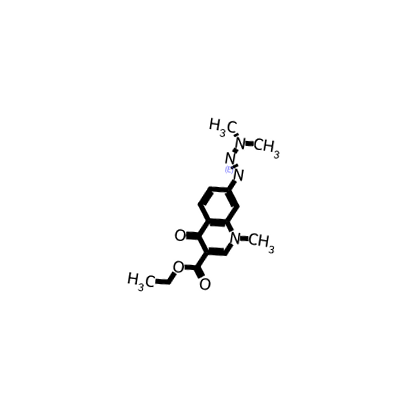 CCOC(=O)c1cn(C)c2cc(/N=N/N(C)C)ccc2c1=O